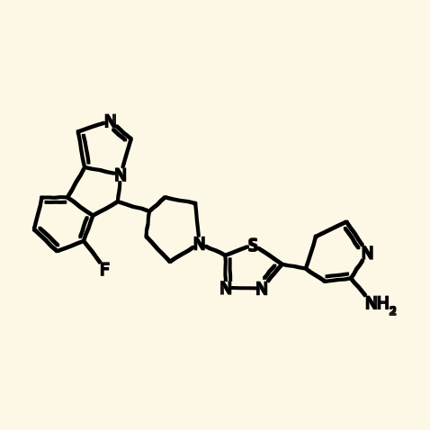 NC1=CC(c2nnc(N3CCC(C4c5c(F)cccc5-c5cncn54)CC3)s2)CC=N1